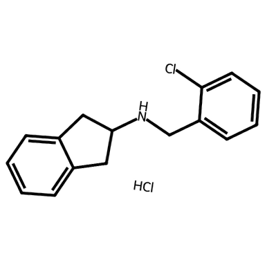 Cl.Clc1ccccc1CNC1Cc2ccccc2C1